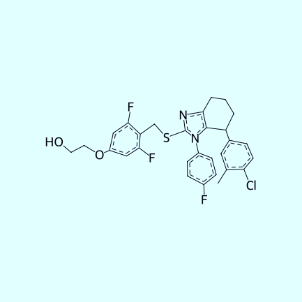 Cc1cc(C2CCCc3nc(SCc4c(F)cc(OCCO)cc4F)n(-c4ccc(F)cc4)c32)ccc1Cl